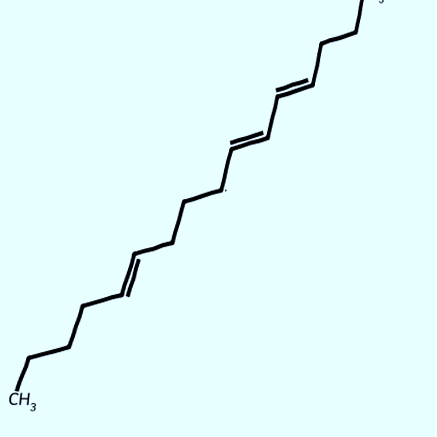 CCCC=CC=C[CH]CCC=CCCCC